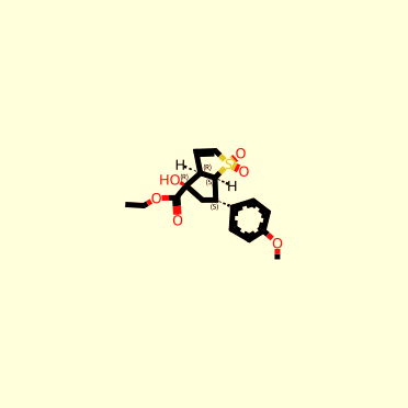 CCOC(=O)[C@@]1(O)C[C@@H](c2ccc(OC)cc2)[C@H]2[C@@H]1C=CS2(=O)=O